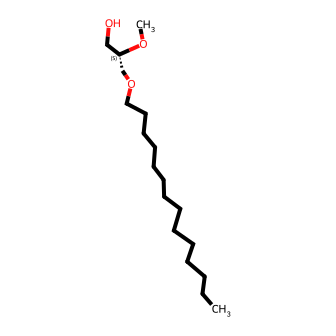 CCCCCCCCCCCCCCOC[C@H](CO)OC